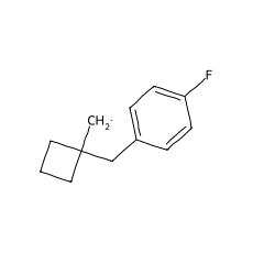 [CH2]C1(Cc2ccc(F)cc2)CCC1